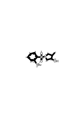 CC1CN(S(=O)(=O)c2ccccc2C(C)(C)C)CC1O